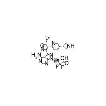 CC(C)n1nc(-c2noc(C3CC3)c2-c2ccc(C3CNC3)cn2)c2c(N)ncnc21.O=C(O)C(F)(F)F